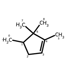 [CH2]C1CC=C(C)C1(C)C